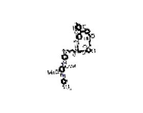 C=c1ccc2c(c1)Oc1cc(N(C)C)ccc1C=2c1cc(C(=O)NCCCN2C(=O)CC(SCCNC(=O)CCCN(C)c3ccc(/N=N/c4cc(OC)c(/N=N/c5ccc([N+](=O)[O-])cc5)cc4OC)cc3)C2=O)ccc1C(=O)O